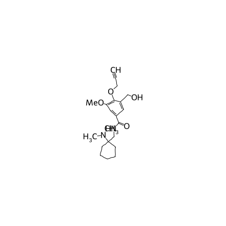 C#CCOc1c(CO)cc(C(=O)NCC2(N(C)C)CCCCC2)cc1OC